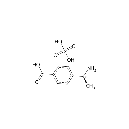 C[C@H](N)c1ccc(C(=O)O)cc1.O=S(=O)(O)O